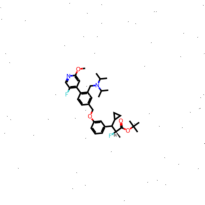 COc1cc(-c2ccc(COc3cccc(C(C4CC4)[C@@](C)(F)C(=O)OC(C)(C)C)c3)cc2CN(C(C)C)C(C)C)c(F)cn1